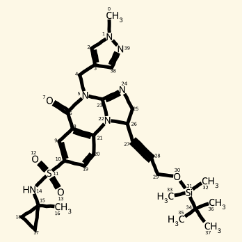 Cn1cc(CN2C(=O)c3cc(S(=O)(=O)NC4(C)CC4)ccc3N3C2=NCC3C#CCO[Si](C)(C)C(C)(C)C)cn1